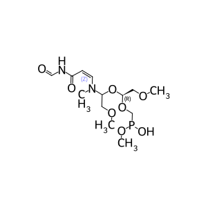 COCC(O[C@@H](COC)OCP(O)OC)N(C)/C=C\C(=O)NC=O